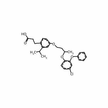 CC(CCOc1ccc(CCC(=O)O)c(C(C)C)c1)Oc1ccc(Cl)cc1Oc1ccccc1